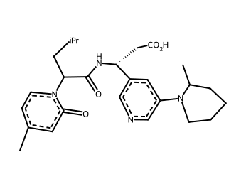 Cc1ccn(C(CC(C)C)C(=O)N[C@H](CC(=O)O)c2cncc(N3CCCCC3C)c2)c(=O)c1